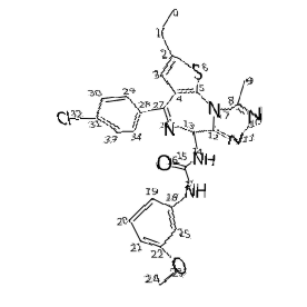 CCc1cc2c(s1)-n1c(C)nnc1C(NC(=O)Nc1cccc(OC)c1)N=C2c1ccc(Cl)cc1